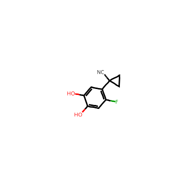 N#CC1(c2cc(O)c(O)cc2F)CC1